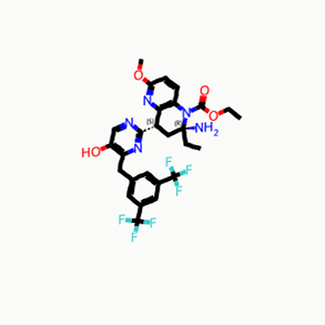 CCOC(=O)N1c2ccc(OC)nc2[C@@H](c2ncc(O)c(Cc3cc(C(F)(F)F)cc(C(F)(F)F)c3)n2)C[C@@]1(N)CC